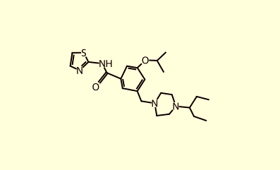 CCC(CC)N1CCN(Cc2cc(OC(C)C)cc(C(=O)Nc3nccs3)c2)CC1